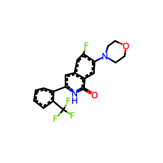 O=c1[nH]c(-c2ccccc2C(F)(F)F)cc2cc(F)c(N3CCOCC3)cc12